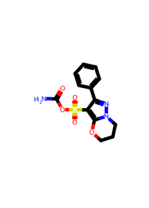 NC(=O)OS(=O)(=O)c1c(-c2ccccc2)nn2c1OCCC2